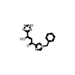 O=C(C=C(O)c1nn[nH]n1)c1cn(Cc2ccccc2)cn1